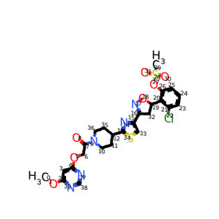 COc1cc(OCC(=O)N2CCC(c3nc(C4=NOC(c5c(Cl)cccc5OS(C)(=O)=O)C4)cs3)CC2)ncn1